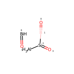 O=B[Si](=O)[AlH2].[O]=[BiH]